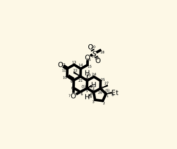 CC[C@H]1CC[C@H]2[C@@H]3C4OC4C4=CC(=O)CC(COS(C)(=O)=O)[C@]4(C)[C@H]3CC[C@]12C